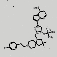 CSc1ncnn2c([C@H]3C[C@H](OC(C)(C)O)[C@@H](CN4CC(F)(F)CC45CCN(CCc4ccc(F)cc4)CC5)O3)ccc12